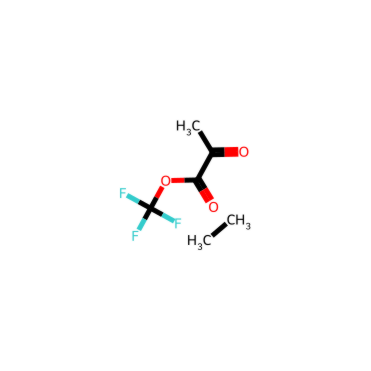 CC.CC(=O)C(=O)OC(F)(F)F